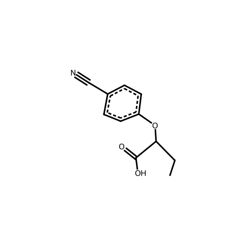 CCC(Oc1ccc(C#N)cc1)C(=O)O